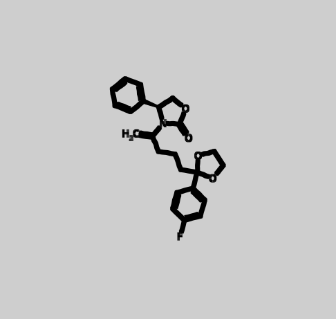 C=C(CCCC1(c2ccc(F)cc2)OCCO1)N1C(=O)OC[C@@H]1c1ccccc1